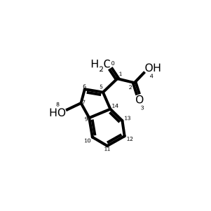 C=C(C(=O)O)C1=CC(O)c2ccccc21